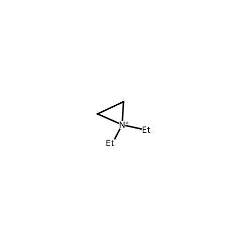 [CH2]C[N+]1(CC)CC1